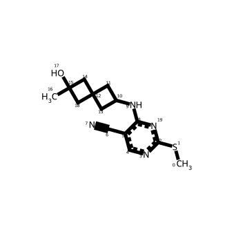 CSc1ncc(C#N)c(NC2CC3(C2)CC(C)(O)C3)n1